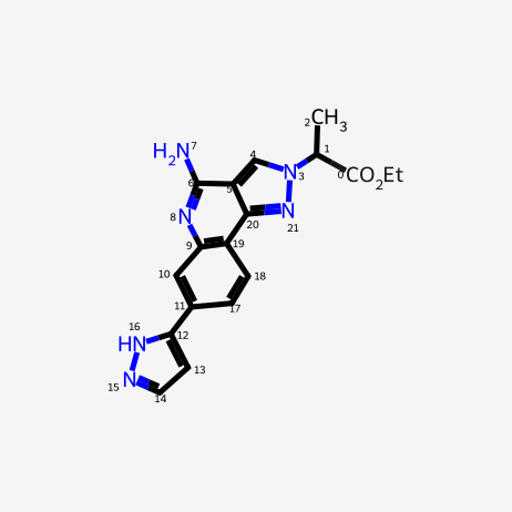 CCOC(=O)C(C)n1cc2c(N)nc3cc(-c4ccn[nH]4)ccc3c2n1